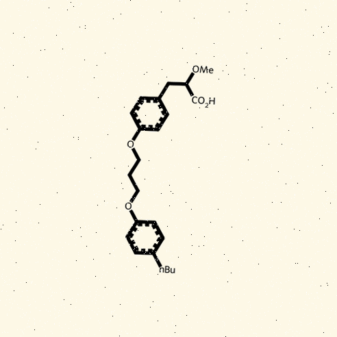 CCCCc1ccc(OCCCOc2ccc(CC(OC)C(=O)O)cc2)cc1